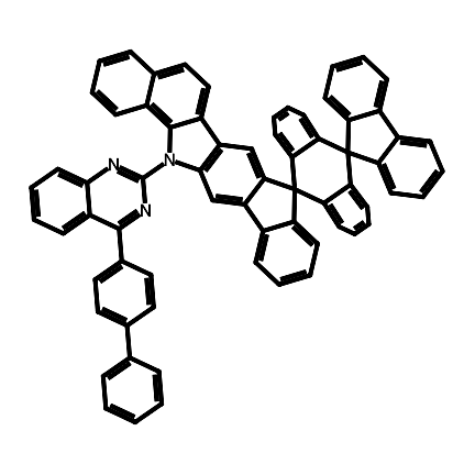 c1ccc(-c2ccc(-c3nc(-n4c5cc6c(cc5c5ccc7ccccc7c54)C4(c5ccccc5-6)c5ccccc5C5(c6ccccc6-c6ccccc65)c5ccccc54)nc4ccccc34)cc2)cc1